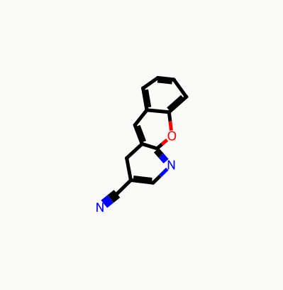 N#CC1=CN=C2Oc3ccccc3C=C2C1